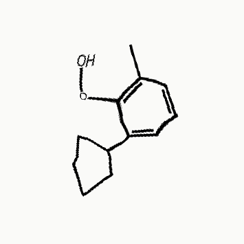 Cc1cccc(C2CCCC2)c1OO